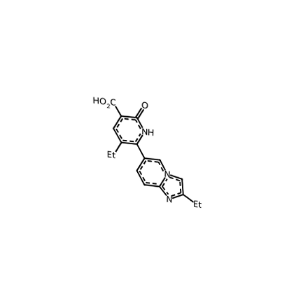 CCc1cn2cc(-c3[nH]c(=O)c(C(=O)O)cc3CC)ccc2n1